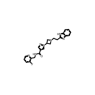 O=C(NCc1ncccc1F)c1cnn(C2CN(CCc3nc4ccccc4[nH]3)C2)c1